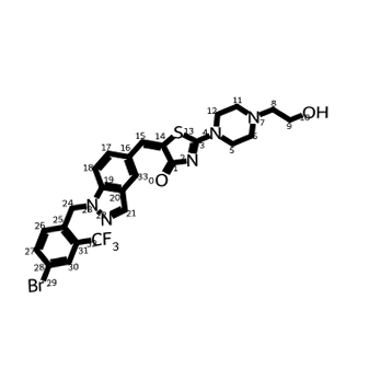 O=C1N=C(N2CCN(CCO)CC2)SC1=Cc1ccc2c(cnn2Cc2ccc(Br)cc2C(F)(F)F)c1